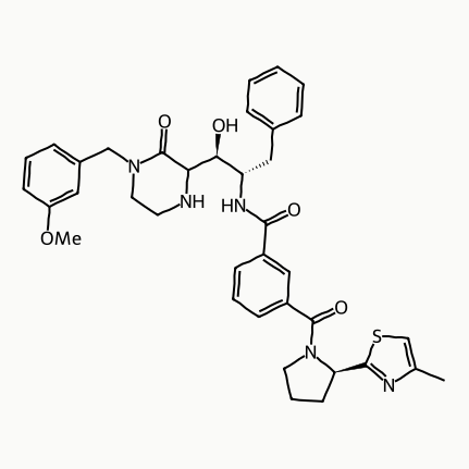 COc1cccc(CN2CCNC([C@@H](O)[C@H](Cc3ccccc3)NC(=O)c3cccc(C(=O)N4CCC[C@@H]4c4nc(C)cs4)c3)C2=O)c1